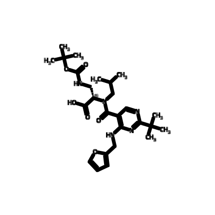 CC(C)CN(C(=O)c1cnc(C(C)(C)C)nc1NCc1ccco1)[C@@H](CNC(=O)OC(C)(C)C)C(=O)O